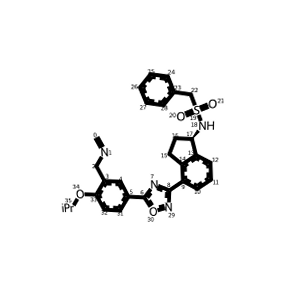 C=NCc1cc(-c2nc(-c3cccc4c3CC[C@H]4NS(=O)(=O)Cc3ccccc3)no2)ccc1OC(C)C